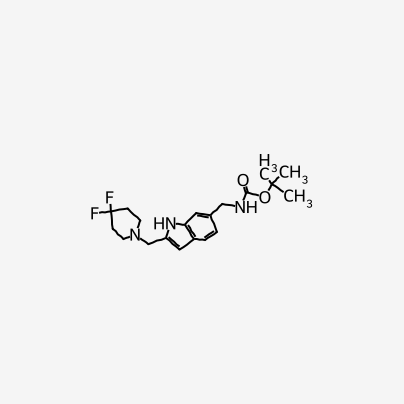 CC(C)(C)OC(=O)NCc1ccc2cc(CN3CCC(F)(F)CC3)[nH]c2c1